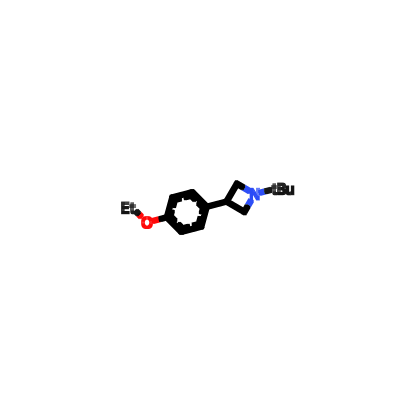 CCOc1ccc(C2CN(C(C)(C)C)C2)cc1